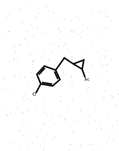 CC(=O)C1CC1Cc1ccc(Cl)cc1